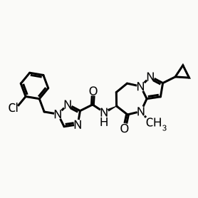 CN1C(=O)[C@@H](NC(=O)c2ncn(Cc3ccccc3Cl)n2)CCn2nc(C3CC3)cc21